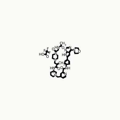 C=C(CN1CCN(C(=O)CNC(C)=O)CC1)C(=O)N[C@@H]1CCCN(Cc2ccnc(C(=O)Nc3ccc(-c4cc5c(N6CCOCC6)ncnc5[nH]4)cc3)c2)C1.O=C(O)C(F)(F)F